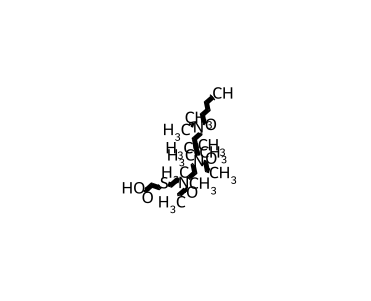 C#CCCCC(=O)N(CCC(C)(C)C(C)(C)N(CCC(C)(C)N(CCSCCC(=O)O)C(=O)CC)C(=O)CC)C(C)C